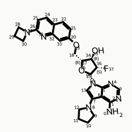 Nc1ncnc2c1c(N1CCCC1)cn2[C@@H]1O[C@H](COc2ccc3ccc(N4CCC4)nc3c2)[C@@H](O)[C@@H]1F